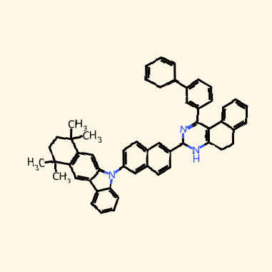 CC1(C)CCC(C)(C)c2cc3c(cc21)c1ccccc1n3-c1ccc2cc(C3N=C(c4cccc(C5C=CC=CC5)c4)C4=C(CCc5ccccc54)N3)ccc2c1